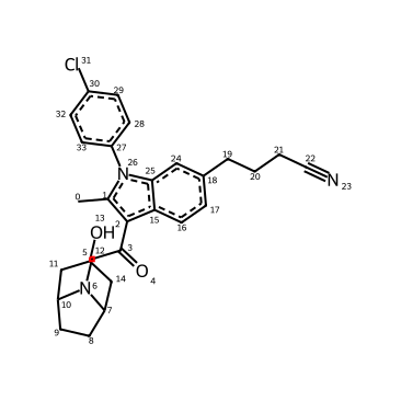 Cc1c(C(=O)CN2C3CCC2CC(O)C3)c2ccc(CCCC#N)cc2n1-c1ccc(Cl)cc1